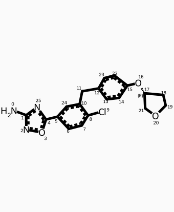 Nc1noc(-c2ccc(Cl)c(Cc3ccc(O[C@@H]4CCOC4)cc3)c2)n1